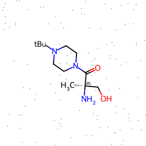 CC(C)(C)N1CCN(C(=O)[C@](C)(N)CO)CC1